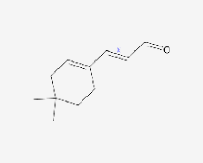 CC1(C)CC=C(/C=C/C=O)CC1